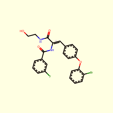 O=C(NCCO)/C(=C/c1ccc(Oc2ccccc2Br)cc1)NC(=O)c1cccc(F)c1